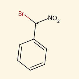 O=[N+]([O-])[C](Br)c1ccccc1